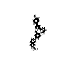 CC[C@H](C)N1CC2(CCN(c3ccc4c(c3)Cn3cc(-c5ccc(F)cc5)cc3-c3nccn3-4)C2)C1